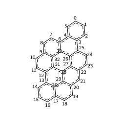 c1ccc2c(c1)c1ccc3ccc4c5cccc6ccc7cc8ccc2c2c8c(c7c65)c4c3c12